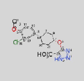 O=C(O)c1[nH]nnc1O[C@H]1CC[C@@H](c2ccc(OC(F)(F)F)c(Cl)c2)CC1